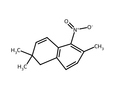 Cc1ccc2c(c1[N+](=O)[O-])C=CC(C)(C)C2